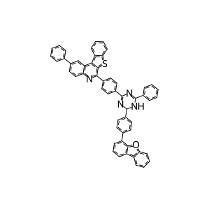 c1ccc(C2=NC(c3ccc(-c4nc5ccc(-c6ccccc6)cc5c5c4sc4ccccc45)cc3)=NC(c3ccc(-c4cccc5c4oc4ccccc45)cc3)N2)cc1